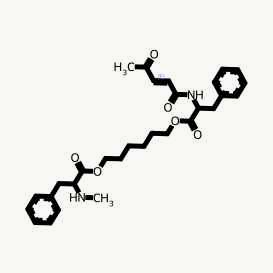 CNC(Cc1ccccc1)C(=O)OCCCCCCOC(=O)C(Cc1ccccc1)NC(=O)/C=C/C(C)=O